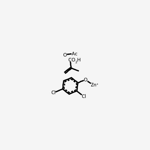 C=C(C)C(=O)O.CC(=O)[O-].Clc1ccc([O][Zn+])c(Cl)c1